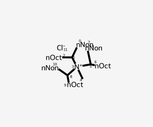 CCCCCCCCCC(CCCCCCCC)[N+](C)(C(CCCCCCCC)CCCCCCCCC)C(CCCCCCCC)CCCCCCCCC.[Cl-]